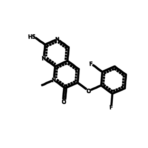 Cn1c(=O)c(Oc2c(F)cccc2F)cc2cnc(S)nc21